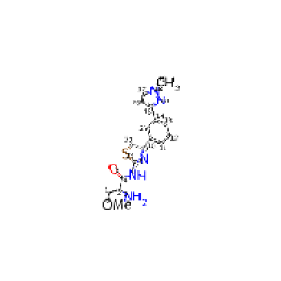 COCC(N)C(=O)Nc1nc(-c2cccc(-c3ccn(C)n3)c2)cs1